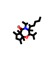 CCCCC(C)C1(C)C(C(C)C)OC2(C)C(C)CC(C)C2(C)C(=O)N1C(C)C